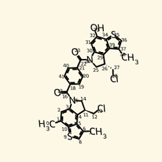 Cc1cc2c(c3c(C)csc13)[C@H](CCl)CN2C(=O)c1ccc(C(=O)N2C[C@@H](CCl)c3c2cc(O)c2scc(C)c32)cc1